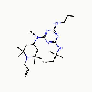 C=CCNc1nc(NC(C)(C)CC(C)(C)C)nc(N(CCCC)C2CC(C)(C)N(CC=C)C(C)(C)C2)n1